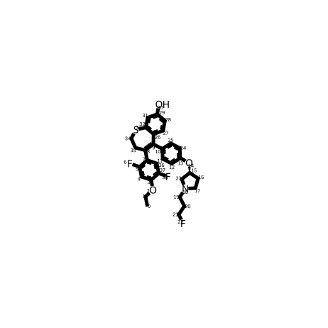 CCOc1cc(F)c(C2=C(c3ccc(O[C@H]4CCN(CCCF)C4)cc3)c3ccc(O)cc3SCC2)cc1F